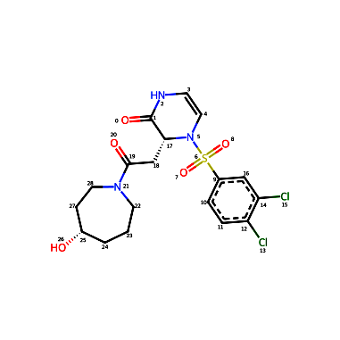 O=C1NC=CN(S(=O)(=O)c2ccc(Cl)c(Cl)c2)[C@@H]1CC(=O)N1CCC[C@H](O)CC1